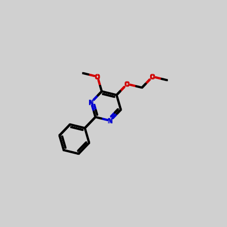 COCOc1cnc(-c2ccccc2)nc1OC